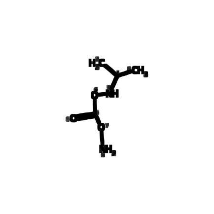 CC(C)NOC(=O)ON